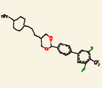 CCCC1CCC(CCC2COC(c3ccc(-c4cc(F)c(C(F)(F)F)c(F)c4)cc3)OC2)CC1